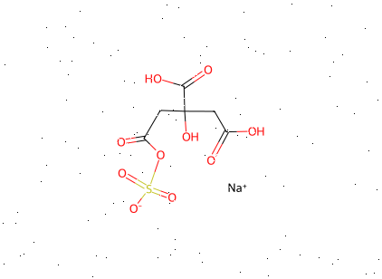 O=C(O)CC(O)(CC(=O)OS(=O)(=O)[O-])C(=O)O.[Na+]